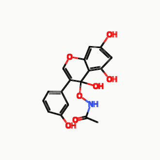 CC(=O)NOC1(O)C(c2cccc(O)c2)=COc2cc(O)cc(O)c21